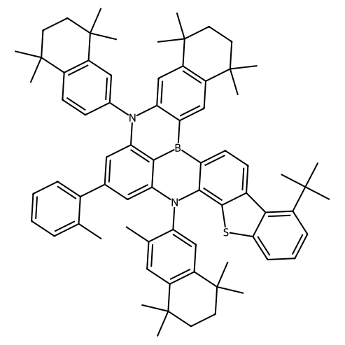 Cc1ccccc1-c1cc2c3c(c1)N(c1cc4c(cc1C)C(C)(C)CCC4(C)C)c1c(ccc4c1sc1cccc(C(C)(C)C)c14)B3c1cc3c(cc1N2c1ccc2c(c1)C(C)(C)CCC2(C)C)C(C)(C)CCC3(C)C